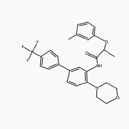 Cc1cccc(OC(C)C(=O)Nc2cc(-c3ccc(C(F)(F)F)cc3)ccc2N2CCOCC2)c1